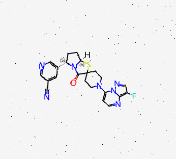 N#Cc1cncc([C@@H]2CC[C@H]3SC4(CCN(c5ccnc6c(F)cnn56)CC4)C(=O)N32)c1